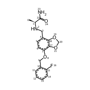 C[C@H](NCc1ccc(OCc2ccccc2F)c2c1OCO2)C(N)=O